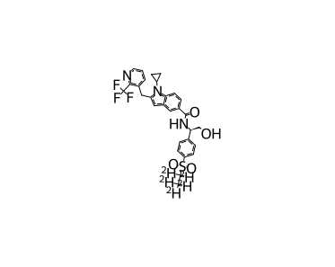 [2H]C([2H])([2H])C([2H])([2H])S(=O)(=O)c1ccc([C@H](CO)NC(=O)c2ccc3c(c2)cc(Cc2cccnc2C(F)(F)F)n3C2CC2)cc1